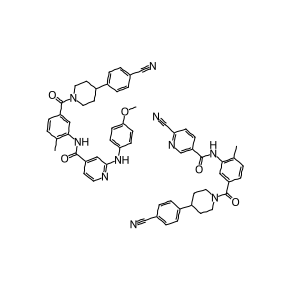 COc1ccc(Nc2cc(C(=O)Nc3cc(C(=O)N4CCC(c5ccc(C#N)cc5)CC4)ccc3C)ccn2)cc1.Cc1ccc(C(=O)N2CCC(c3ccc(C#N)cc3)CC2)cc1NC(=O)c1ccc(C#N)nc1